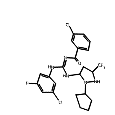 O=C(/N=C(/Nc1cc(F)cc(Cl)c1)NC1CC(C(F)(F)F)NN1C1CCCC1)c1cccc(Cl)c1